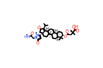 CNC(=O)Cn1c(=O)cc([C@@]23CC[C@]4(C)[C@H](CC[C@@H]5[C@@]6(C)CC[C@H](OC(=O)CC(C)(C)C(=O)O)C(C)(C)[C@@H]6CC[C@]54C)C2=C(C(C)C)C(=O)C3)n1C